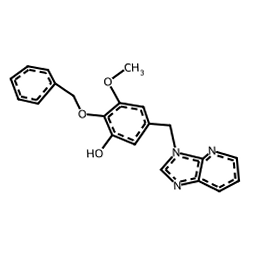 COc1cc(Cn2cnc3cccnc32)cc(O)c1OCc1ccccc1